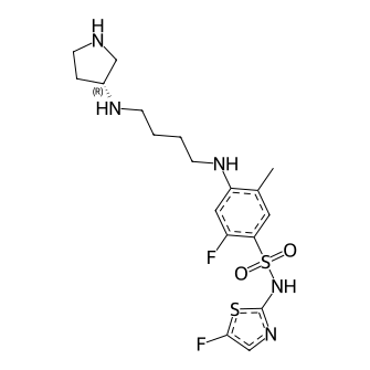 Cc1cc(S(=O)(=O)Nc2ncc(F)s2)c(F)cc1NCCCCN[C@@H]1CCNC1